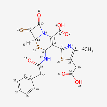 Cc1nc(C2=C(C(=O)O)N3C(=O)C(=S)[C@@H]3SC2NC(=O)Cc2ccccc2)sc1CC(=O)O